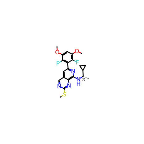 COc1cc(OC)c(F)c(-c2cc3cnc(SC)nc3c(N[C@@H](C)C3CC3)n2)c1F